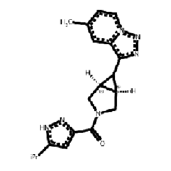 Cc1ccn2nnc(C3[C@H]4CN(C(=O)c5cc(C(C)C)[nH]n5)C[C@@H]34)c2c1